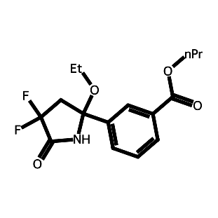 CCCOC(=O)c1cccc(C2(OCC)CC(F)(F)C(=O)N2)c1